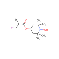 CCC(CI)C(=O)OC1CC(C)(C)N(O)C(C)(C)C1